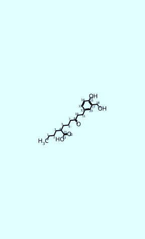 CCCCC(CCCC(=O)CCc1ccc(O)c(CO)c1)C(=O)O